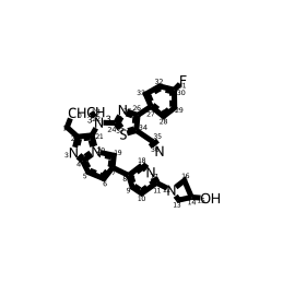 CCc1nc2ccc(-c3ccc(N4CC(O)C4)nc3)cn2c1N(C)c1nc(-c2ccc(F)cc2)c(C#N)s1